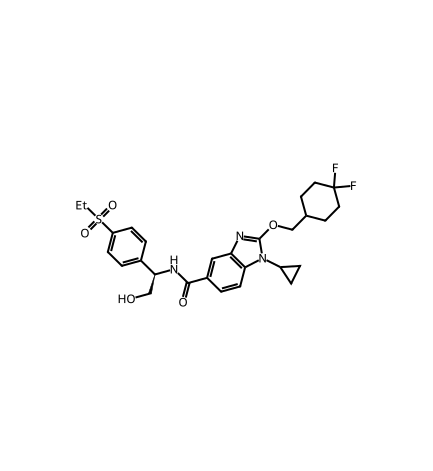 CCS(=O)(=O)c1ccc([C@H](CO)NC(=O)c2ccc3c(c2)nc(OCC2CCC(F)(F)CC2)n3C2CC2)cc1